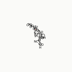 CC(C)CC(=O)SCCOP(=O)(OCOC(=O)O[C@@H]1CCOC1)C(F)(F)c1ccc2sc(C(=O)N[C@H]3CCCC[C@H]4CC[C@@H](C(=O)N5C[C@H](c6cc[nH]c(=O)c6)[C@@H](C#N)C5)N4C3=O)cc2c1